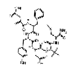 C=C(CC(=O)O)C(=O)NC(Cc1ccccc1)C(=O)NC(Cc1ccc(O)cc1)C(=O)NC(CC(=O)O)C(=O)NC(C(=O)NC(CSC)C(N)=O)C(C)(C)C